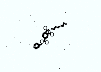 CCCCCCCCN1C(=O)c2ccc(C(=O)OCc3ccccc3)cc2C1=O